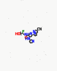 CC(C)(O)C(F)CNC(=O)c1cnc(-c2ccc3cc(C#N)cnn23)cc1Nc1cccnc1